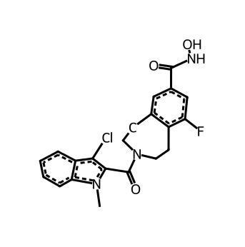 Cn1c(C(=O)N2CCc3cc(C(=O)NO)cc(F)c3CC2)c(Cl)c2ccccc21